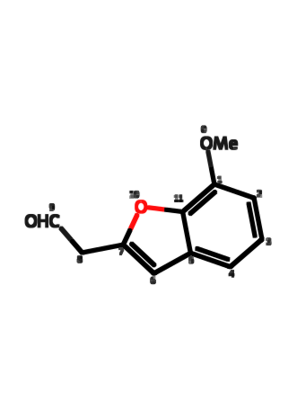 COc1cccc2cc(CC=O)oc12